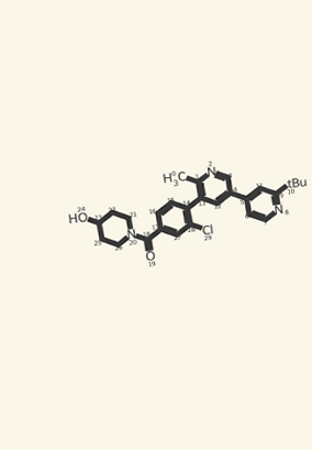 Cc1ncc(-c2ccnc(C(C)(C)C)c2)cc1-c1ccc(C(=O)N2CCC(O)CC2)cc1Cl